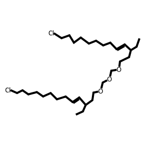 CCC(C=CCCCCCCCCCl)CCOCOCOCCC(C=CCCCCCCCCCl)CC